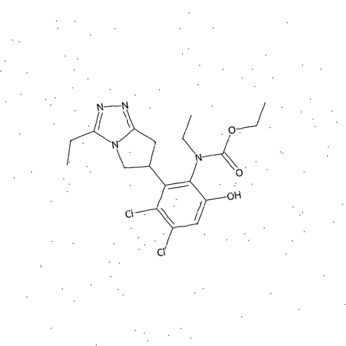 CCOC(=O)N(CC)c1c(O)cc(Cl)c(Cl)c1C1Cc2nnc(CC)n2C1